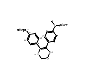 CCCCCCCCCCN(C)c1ccc(C2=C(c3ccc(CCCCCCC)cc3)OCCS2)cc1